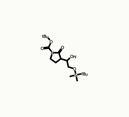 CC(C)(C)OC(=O)N1CCC(C(O)CO[Si](C)(C)C(C)(C)C)C1=O